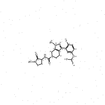 CC(C)N1CCC(NC(=O)[C@@H]2CCc3c(-c4cc(OC(F)F)ccc4F)nn(C(C)C)c3C2)C1=O